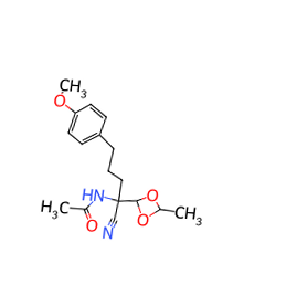 COc1ccc(CCCC(C#N)(NC(C)=O)C2OC(C)O2)cc1